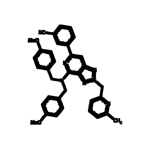 COc1ccc(CN(Cc2ccc(OC)cc2)c2nc(-c3cccc(C#N)c3)cc3nn(Cc4cccc(C)n4)nc23)cc1